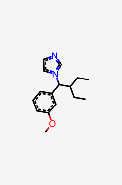 CCC(CC)C(c1cccc(OC)c1)n1ccnc1